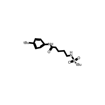 CC(C)(C)c1ccc(NC(=O)CCCCNS(=O)(=O)C(C)(C)C)cc1